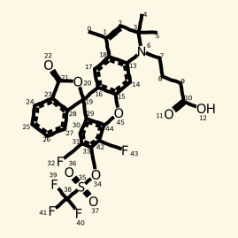 CC1=CC(C)(C)N(CCCC(=O)O)c2cc3c(cc21)C1(OC(=O)c2ccccc21)c1cc(F)c(OS(=O)(=O)C(F)(F)F)c(F)c1O3